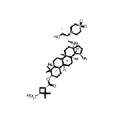 CC(C)[C@@H]1CC[C@]2(NC[C@H]([C@@H](C)O)N3CCS(=O)(=O)CC3)CC[C@]3(C)[C@H](CC[C@@H]4[C@@]5(C)CC[C@H](OC(=O)[C@H]6C[C@@H](C(=O)O)C6(C)C)C(C)(C)[C@@H]5CC[C@]43C)[C@@H]12